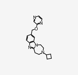 c1cnc(OCc2ccc3nc4n(c3c2)CCN(C2CCC2)CC4)cn1